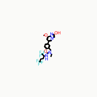 CCN(Cc1cccc(-c2cc(OC)c3nc(O)cn3c2)c1)C(=O)NC(CCC(F)(F)F)C(F)(F)F